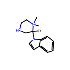 CCC1(n2ccc3ccccc32)CNCC[N+]1(C)C